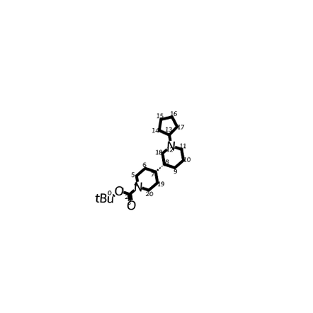 CC(C)(C)OC(=O)N1CCC([C@H]2CCCN(C3CCCC3)C2)CC1